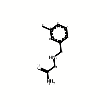 Cc1cccc(CNCC(N)=O)c1